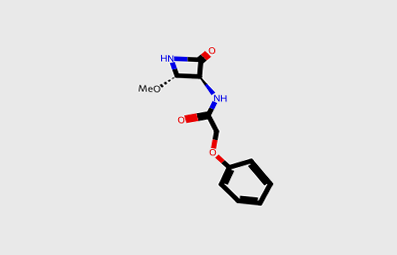 CO[C@@H]1NC(=O)[C@H]1NC(=O)COc1ccccc1